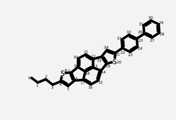 CCCCc1cc2c(s1)-c1ccc3c4c(ccc-2c14)-c1sc(-c2ccc(-c4ccccc4)cc2)cc1-3